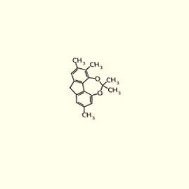 Cc1cc2c3c(c1)OC(C)(C)Oc1c(C)c(C)cc(c1-3)C2